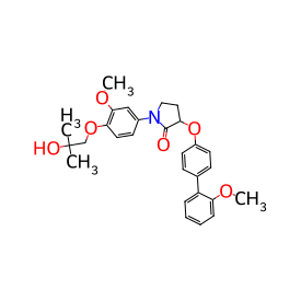 COc1cc(N2CCC(Oc3ccc(-c4ccccc4OC)cc3)C2=O)ccc1OCC(C)(C)O